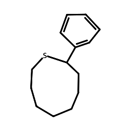 c1ccc(C2CCCCCCCS2)cc1